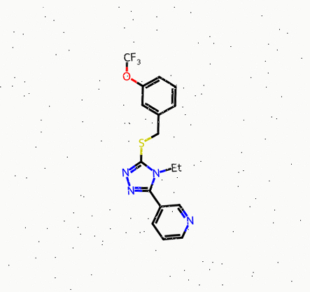 CCn1c(SCc2cccc(OC(F)(F)F)c2)nnc1-c1cccnc1